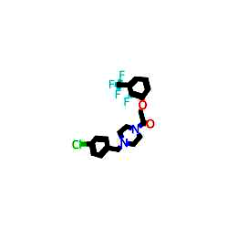 O=C(COc1cccc(C(F)(F)F)c1F)N1CCN(Cc2ccc(Cl)cc2)CC1